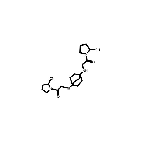 N#CC1CCCN1C(=O)CNC12CCC(NCC(=O)N3CCCC3C#N)(CC1)CC2